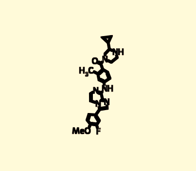 COc1ccc(-c2cnc3c(Nc4ccc(C(=O)N5CCNC(C6CC6)C5)c(C)c4)nccn23)cc1F